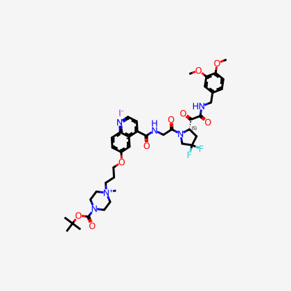 COc1ccc(CNC(=O)C(=O)[C@@H]2CC(F)(F)CN2C(=O)CNC(=O)c2ccnc3ccc(OCCC[N+]4(C)CCN(C(=O)OC(C)(C)C)CC4)cc23)cc1OC.[I-]